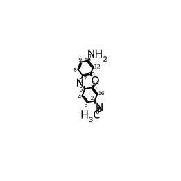 CN=c1ccc2nc3ccc(N)cc3oc-2c1